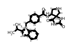 CC(C)c1nc2ccccc2n1Cc1ccc(C(=O)NC2CNCC23NC(=O)NC3=O)cc1